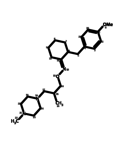 COc1ccc(CC2CCCCC2=NOCC(C)CN2CCN(C)CC2)cc1